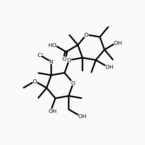 [CH2+][N-]C1(C)C(OC2(C)C(C)(C(=O)O)OC(C)C(C)(O)C2(C)O)OC(C)(CO)C(O)C1(C)OC